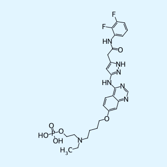 CCN(CCCCOc1ccc2c(Nc3cc(CC(=O)Nc4cccc(F)c4F)[nH]n3)ncnc2c1)CCOP(=O)(O)O